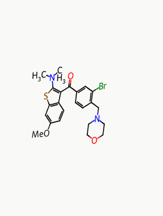 COc1ccc2c(C(=O)c3ccc(CN4CCOCC4)c(Br)c3)c(N(C)C)sc2c1